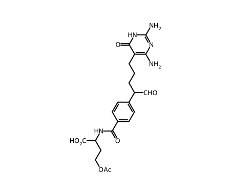 CC(=O)OCCC(NC(=O)c1ccc(C(C=O)CCCc2c(N)nc(N)[nH]c2=O)cc1)C(=O)O